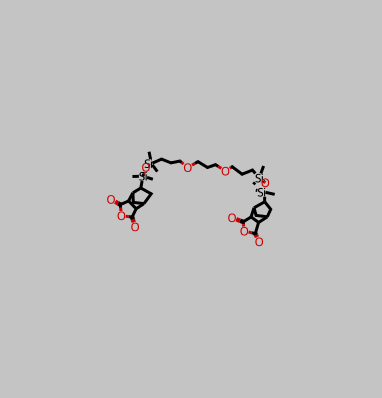 C[Si](C)(CCCOCCCOCCC[Si](C)(C)O[Si](C)(C)C1CC2CC1C1C(=O)OC(=O)C21)O[Si](C)(C)C1CC2CC1C1C(=O)OC(=O)C21